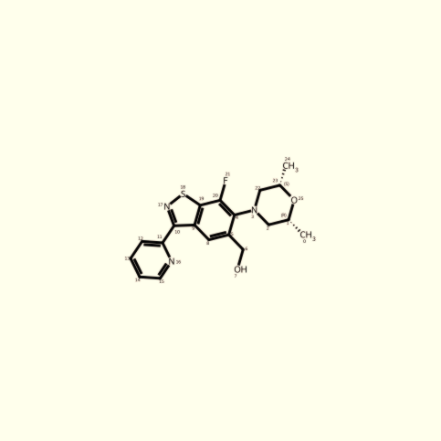 C[C@@H]1CN(c2c(CO)cc3c(-c4ccccn4)nsc3c2F)C[C@H](C)O1